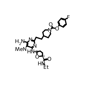 CCNC(=O)[C@@H]1CC[C@H](Nc2nc(CCC3CCN(C(=O)Oc4ccc(F)cc4)CC3)nc(N)c2NC)O1